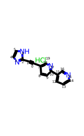 C(#Cc1ncc[nH]1)c1ccc(-c2cccnc2)nc1.Cl